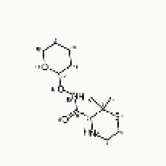 CC1(C)SCCN[C@@H]1C(=O)NOC1CCCCO1